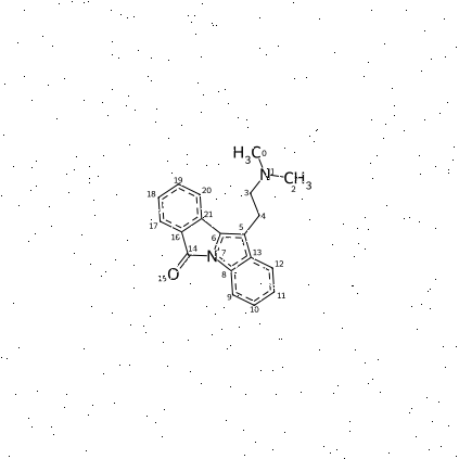 CN(C)CCc1c2n(c3ccccc13)C(=O)c1ccccc1-2